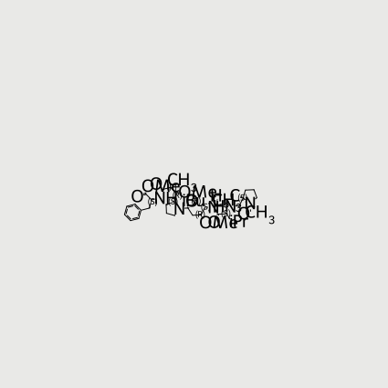 CC[C@H](C)[C@@H]([C@@H](CC(=O)N1CCC[C@H]1[C@H](OC)[C@@H](C)C(=O)N[C@@H](Cc1ccccc1)C(=O)OC)OC)N(C)C(=O)[C@@H](NC(=O)[C@]1(C)CCCN1C)C(C)C